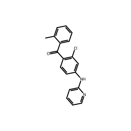 Cc1ccccc1C(=O)c1ccc(Nc2ccccn2)cc1Cl